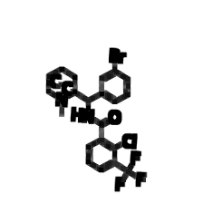 CN1CC2CCC1(C(NC(=O)c1cccc(C(F)(F)F)c1Cl)c1cccc(Br)c1)CC2